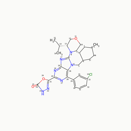 CC1CCC(Cn2c(N3CCOC[C@H]3C(C)C)nc3nc(-c4n[nH]c(=O)o4)nc(-c4cccc(Cl)c4)c32)CC1